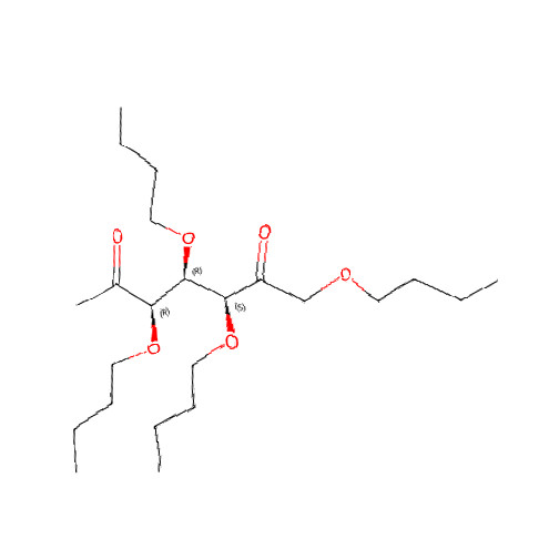 CCCCOCC(=O)[C@@H](OCCCC)[C@H](OCCCC)[C@@H](OCCCC)C(C)=O